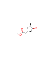 C=C1CC(CC(=O)OC)CC1=O